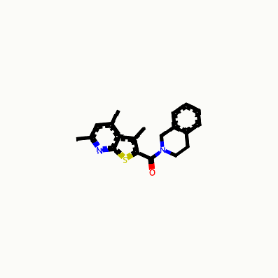 Cc1cc(C)c2c(C)c(C(=O)N3CCc4ccccc4C3)sc2n1